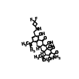 CN(C)c1cc(CNC2CC(F)(F)C2)c(O)c2c1C[C@H]1C[C@H]3[C@H](N(C)C)C(O)=C(C(N)=O)C(=O)[C@@]3(O)C(O)=C1C2=O